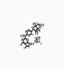 Cc1c[nH]c2nc(Nc3ccc(N4C[C@H]5CNC[C@H]5C4=O)cn3)nc(C)c12.NC=O